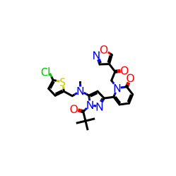 CN(Cc1ccc(Cl)s1)c1cc(-c2cccc(=O)n2CC(=O)c2cnoc2)nn1C(=O)C(C)(C)C